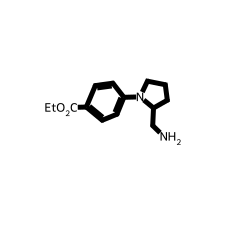 CCOC(=O)c1ccc(N2CCCC2CN)cc1